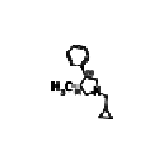 C[C@H]1CN(CC2CC2)C[C@@H]1c1ccccc1